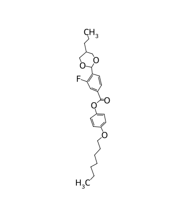 CCCCCCCOc1ccc(OC(=O)c2ccc(C3OCC(CCC)CO3)c(F)c2)cc1